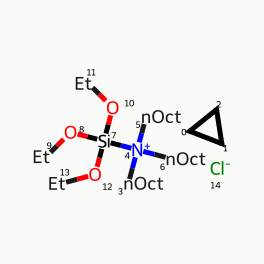 C1CC1.CCCCCCCC[N+](CCCCCCCC)(CCCCCCCC)[Si](OCC)(OCC)OCC.[Cl-]